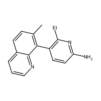 CCc1nc(N)ccc1-c1c(C)ccc2cccnc12